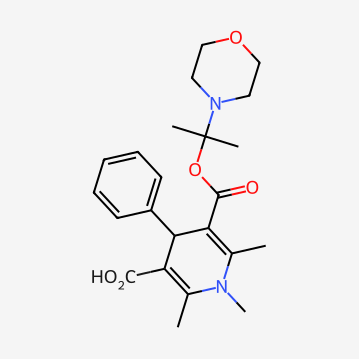 CC1=C(C(=O)O)C(c2ccccc2)C(C(=O)OC(C)(C)N2CCOCC2)=C(C)N1C